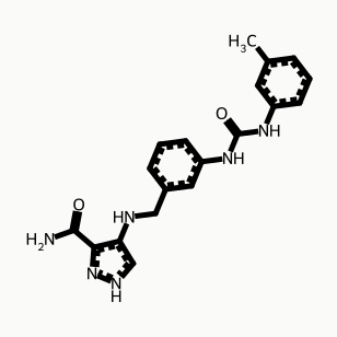 Cc1cccc(NC(=O)Nc2cccc(CNc3c[nH]nc3C(N)=O)c2)c1